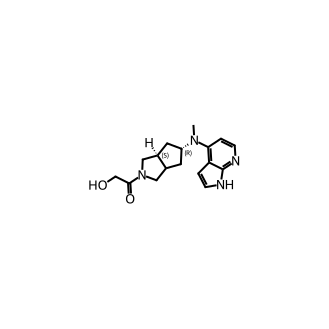 CN(c1ccnc2[nH]ccc12)[C@@H]1CC2CN(C(=O)CO)C[C@H]2C1